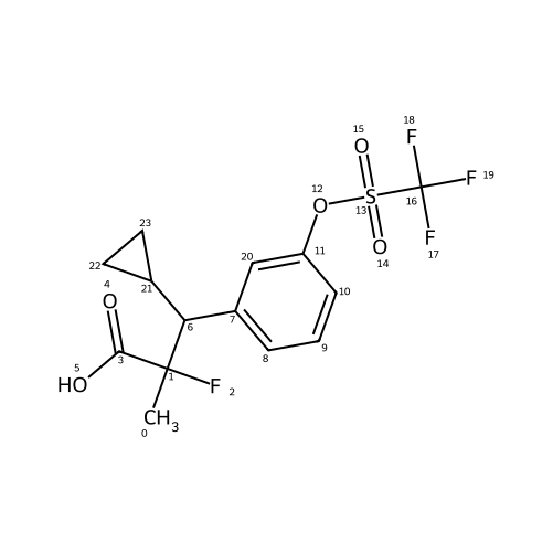 CC(F)(C(=O)O)C(c1cccc(OS(=O)(=O)C(F)(F)F)c1)C1CC1